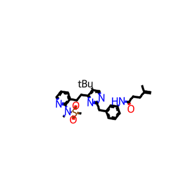 C=C(C)CCC(=O)Nc1cccc(Cc2ncc(C(C)(C)C)c(CCc3cccnc3N(C)S(C)(=O)=O)n2)c1